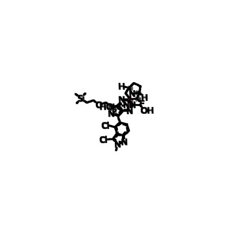 Cn1nc2ccc(-c3nn(COCC[Si](C)(C)C)c4nc(N5[C@H]6CC[C@@H]5[C@@H](F)[C@@H](NC(=O)O)C6)c(CO)nc34)c(Cl)c2c1Cl